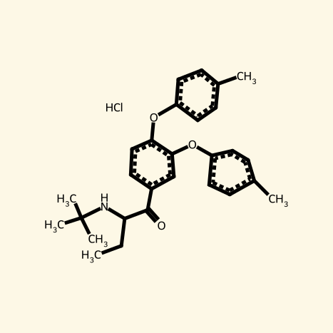 CCC(NC(C)(C)C)C(=O)c1ccc(Oc2ccc(C)cc2)c(Oc2ccc(C)cc2)c1.Cl